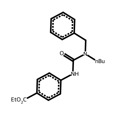 CCCCN(Cc1ccccc1)C(=O)Nc1ccc(C(=O)OCC)cc1